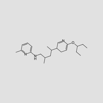 CCC(CC)OC1=CCC(C(C)CC(C)CNc2cccc(C)n2)C=N1